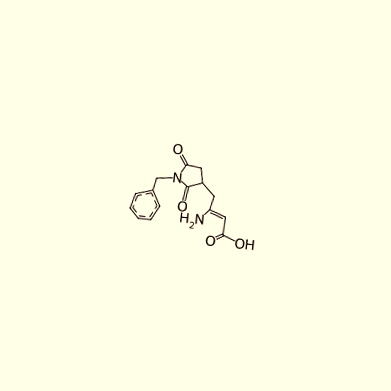 N/C(=C\C(=O)O)CC1CC(=O)N(Cc2ccccc2)C1=O